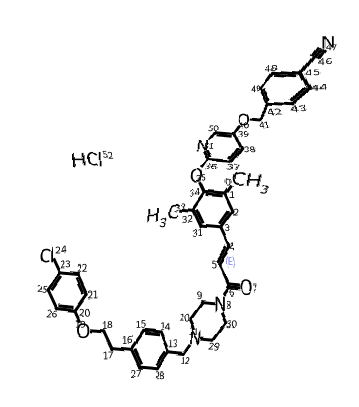 Cc1cc(/C=C/C(=O)N2CCN(Cc3ccc(CCOc4ccc(Cl)cc4)cc3)CC2)cc(C)c1Oc1ccc(OCc2ccc(C#N)cc2)cn1.Cl